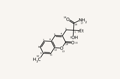 CCC(O)(Cc1cc2ccc(C)cc2oc1=O)C(N)=O